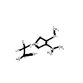 COC1CNCC1N(C)C.O=C(O)C(F)(F)F